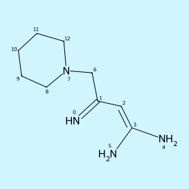 N=C(C=C(N)N)CN1CCCCC1